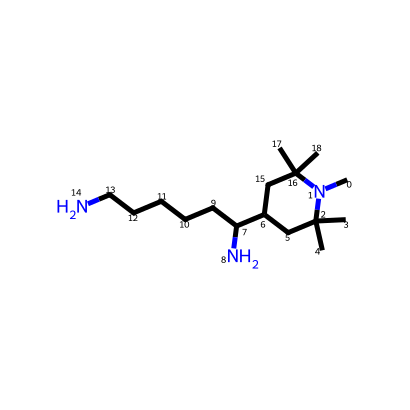 CN1C(C)(C)CC(C(N)CCCCCN)CC1(C)C